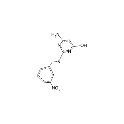 Nc1cc(O)nc(SCc2cccc([N+](=O)[O-])c2)n1